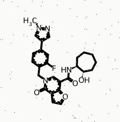 Cn1cc(-c2ccc(Cn3cc(C(=O)N[C@H]4CCCCC[C@@H]4O)c4occc4c3=O)c(F)c2)cn1